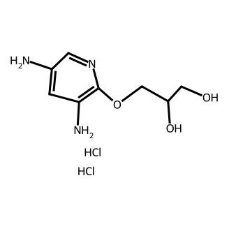 Cl.Cl.Nc1cnc(OCC(O)CO)c(N)c1